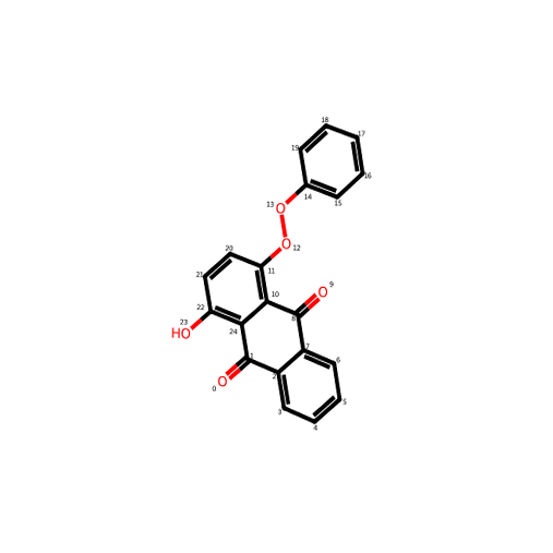 O=C1c2ccccc2C(=O)c2c(OOc3ccccc3)ccc(O)c21